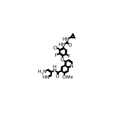 COc1cc2nccc(Oc3c(F)cc(NC(=O)NC4CC4)c(Cl)c3F)c2cc1C(=O)N/C(C=N)=C/N